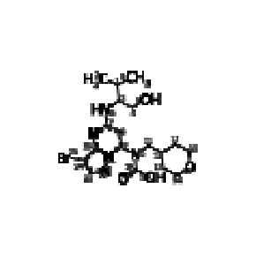 CC(C)C(CO)Nc1cc(N(CC2CCOCC2)C(=O)O)n2ncc(Br)c2n1